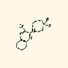 FC1(F)CCCN(c2nc3c(cc2Br)CCCC3)CC1